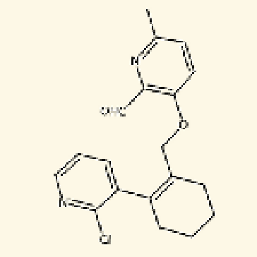 Cc1ccc(OCC2=C(c3cccnc3Cl)CCCC2)c(C=O)n1